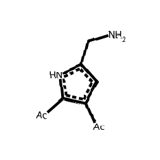 CC(=O)c1cc(CN)[nH]c1C(C)=O